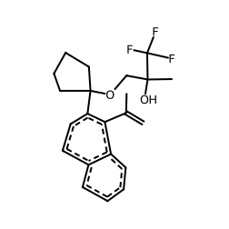 C=C(C)c1c(C2(OCC(C)(O)C(F)(F)F)CCCC2)ccc2ccccc12